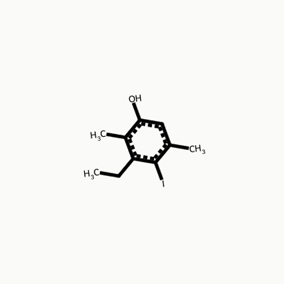 CCc1c(C)c(O)cc(C)c1I